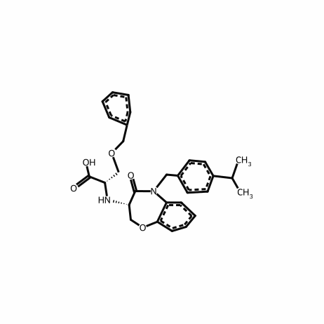 CC(C)c1ccc(CN2C(=O)[C@@H](N[C@@H](COCc3ccccc3)C(=O)O)COc3ccccc32)cc1